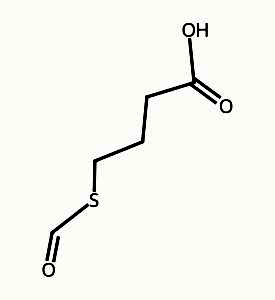 O=CSCCCC(=O)O